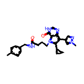 Cc1ccc(CNC(=O)CCCn2c(C3CC3)c(-c3cnn(C)c3)c3nc[nH]c(=O)c32)cc1